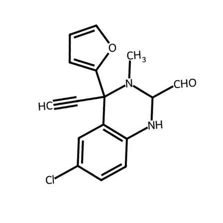 C#CC1(c2ccco2)c2cc(Cl)ccc2NC(C=O)N1C